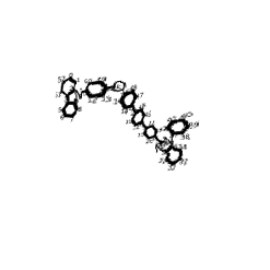 C1=Cc2c(c3ccccc3n2-c2ccc(Oc3ccc(-c4ccc(-c5ccc(-c6nc7ccccc7n6-c6ccccc6)cc5)cc4)cc3)cc2)CC1